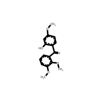 COc1ccc(C(=O)c2cccc(OC)c2OC)c(O)c1